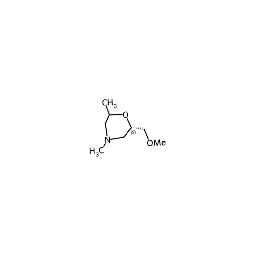 COC[C@@H]1CN(C)CC(C)O1